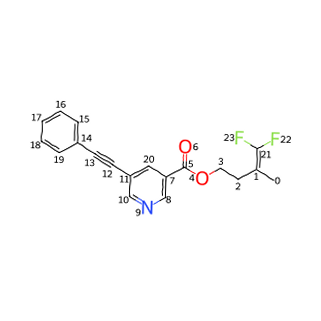 CC(CCOC(=O)c1cncc(C#Cc2ccccc2)c1)=C(F)F